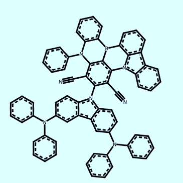 N#Cc1c2c3c(c(C#N)c1-n1c4ccc(N(c5ccccc5)c5ccccc5)cc4c4cc(N(c5ccccc5)c5ccccc5)ccc41)-n1c4ccccc4c4cccc(c41)B3c1ccccc1N2c1ccccc1